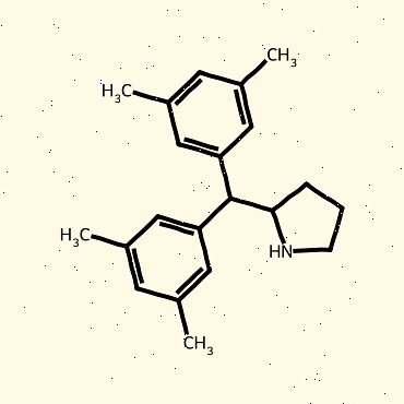 Cc1cc(C)cc(C(c2cc(C)cc(C)c2)C2CCCN2)c1